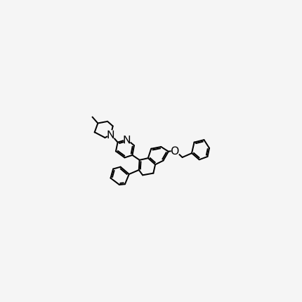 CC1CCN(c2ccc(C3=C(c4ccccc4)CCc4cc(OCc5ccccc5)ccc43)cn2)CC1